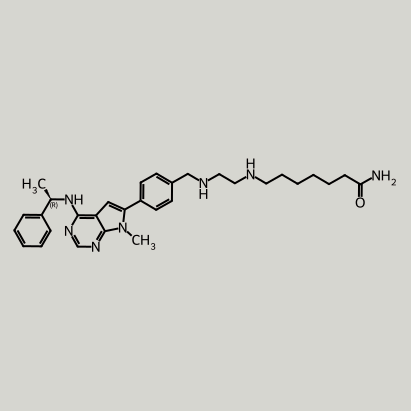 C[C@@H](Nc1ncnc2c1cc(-c1ccc(CNCCNCCCCCCC(N)=O)cc1)n2C)c1ccccc1